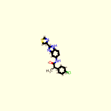 C[C@@H](C(=O)Nc1ccc2[nH]c(-c3cscn3)nc2c1)c1ccc(Cl)cc1